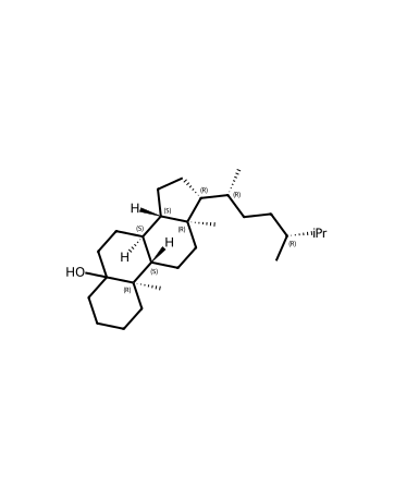 CC(C)[C@H](C)CC[C@@H](C)[C@H]1CC[C@H]2[C@@H]3CCC4(O)CCCC[C@]4(C)[C@H]3CC[C@]12C